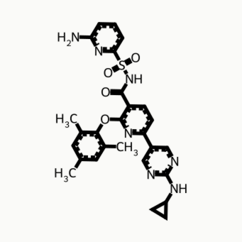 Cc1cc(C)c(Oc2nc(-c3cnc(NC4CC4)nc3)ccc2C(=O)NS(=O)(=O)c2cccc(N)n2)c(C)c1